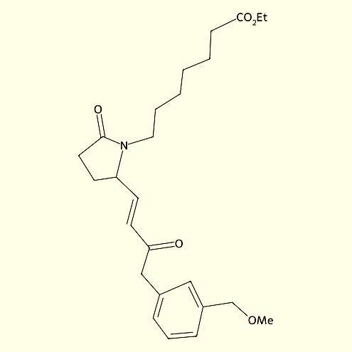 CCOC(=O)CCCCCCN1C(=O)CCC1/C=C/C(=O)Cc1cccc(COC)c1